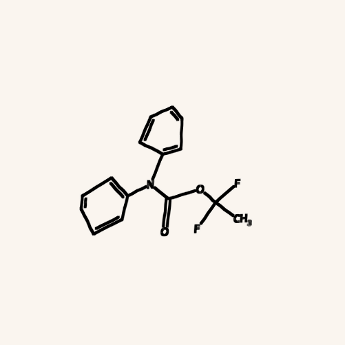 CC(F)(F)OC(=O)N(c1ccccc1)c1ccccc1